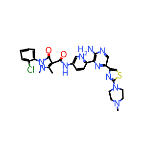 Cc1c(C(=O)Nc2ccc(-c3nc(-c4csc(N5CCN(C)CC5)n4)cnc3N)nc2)c(=O)n(-c2ccccc2Cl)n1C